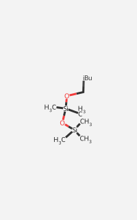 CCC(C)CO[Si](C)(C)O[Si](C)(C)C